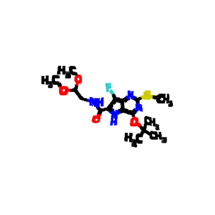 COC(CNC(=O)c1[nH]c2c(OC(C)(C)C)nc(SC)nc2c1F)OC